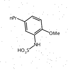 [CH2]CCc1ccc(OC)c(NS(=O)(=O)O)c1